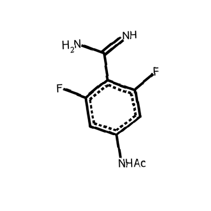 CC(=O)Nc1cc(F)c(C(=N)N)c(F)c1